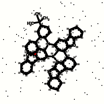 CC(C)(C)c1ccc(N2c3cc4oc5ccccc5c4cc3B3c4c2cc2c(oc5ccccc52)c4-c2cccc4c5c6ccccc6sc5n3c24)c(-c2ccccc2)c1